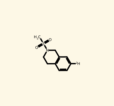 [2H]c1ccc2c(c1)CN(S(C)(=O)=O)CC2